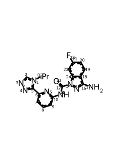 CC(C)n1cnnc1-c1cccc(NC(=O)n2nc(N)c3ccc(F)cc32)n1